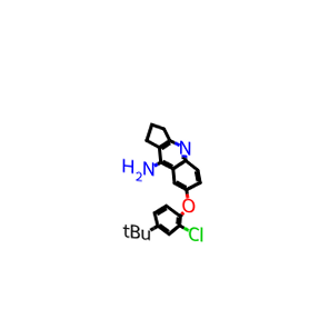 CC(C)(C)c1ccc(Oc2ccc3nc4c(c(N)c3c2)CCC4)c(Cl)c1